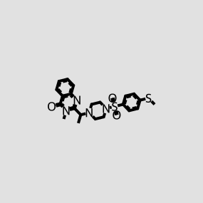 CSc1ccc(S(=O)(=O)N2CCN(C(C)c3nc4ccccc4c(=O)n3C)CC2)cc1